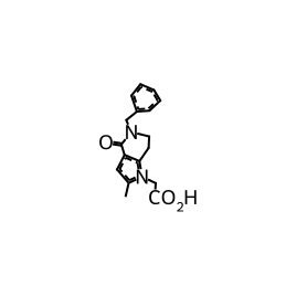 Cc1cc2c(n1CC(=O)O)CCN(Cc1ccccc1)C2=O